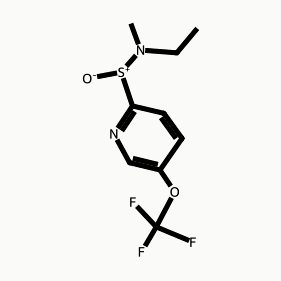 CCN(C)[S+]([O-])c1ccc(OC(F)(F)F)cn1